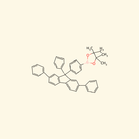 CC1(C)OB(c2ccc(C3(c4ccccc4)c4cc(-c5ccccc5)ccc4-c4ccc(-c5ccccc5)cc43)cc2)OC1(C)C